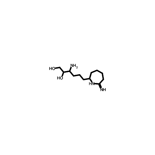 N=C1CCCCC(CCCC(N)C(O)CO)N1